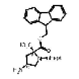 CCCCCCCN1C[C@@H](N)C[C@]1(C(=O)O)C(=O)OCC1c2ccccc2-c2ccccc21